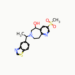 CC(c1ccc2scnc2c1)N1CCc2ncc(S(C)(=O)=O)cc2C(O)C1